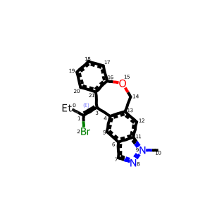 CC/C(Br)=C1/c2cc3cnn(C)c3cc2COc2ccccc21